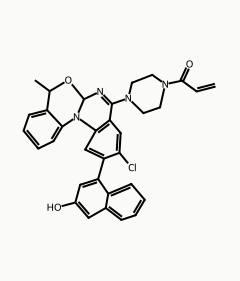 C=CC(=O)N1CCN(C2=NC3OC(C)c4ccccc4N3c3cc(-c4cc(O)cc5ccccc45)c(Cl)cc32)CC1